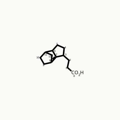 O=C(O)CCC1CCC2C1=C1CCC2C1